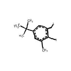 Cc1cc(C(C)(C)C)cc(I)c1I